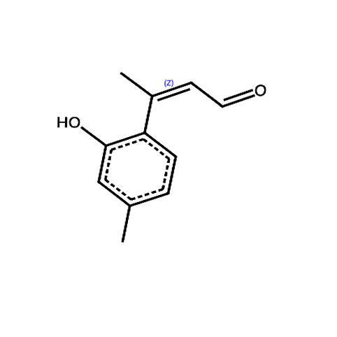 C/C(=C/C=O)c1ccc(C)cc1O